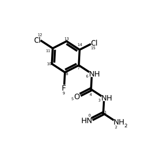 N=C(N)NC(=O)Nc1c(F)cc(Cl)cc1Cl